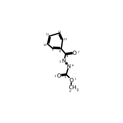 COC(=O)N=NC(=O)c1ccccc1